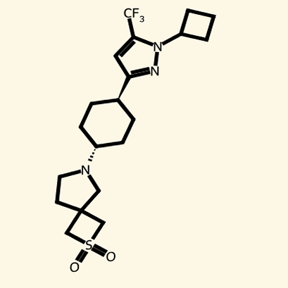 O=S1(=O)CC2(CCN([C@H]3CC[C@H](c4cc(C(F)(F)F)n(C5CCC5)n4)CC3)C2)C1